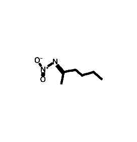 CCCC/C(C)=N/[N+](=O)[O-]